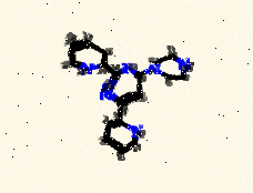 c1ccc(-c2cc(N3CC[N]CC3)nc(-c3ccccn3)n2)nc1